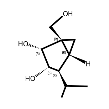 CC(C)[C@H]1[C@H](O)[C@H](O)[C@]2(CO)C[C@H]12